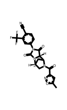 Cc1cc(C(=O)N2C[C@H]3CC2[C@H]2C(=O)N(c4ccc(C#N)c(C(F)(F)F)c4)C(=O)N32)no1